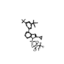 CC(C)(C)c1cc(-c2cccc3c2C=C(C2CC2)C3[Si](C)(C)OS(=O)(=O)C(F)(F)F)cc(C(C)(C)C)c1